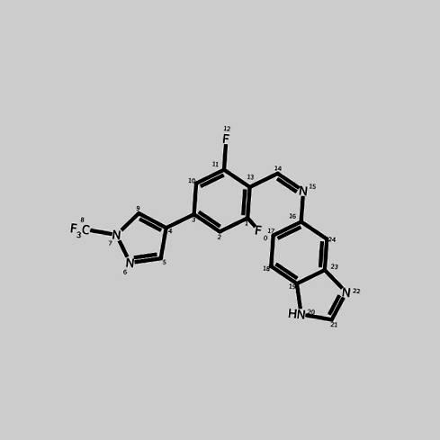 Fc1cc(-c2cnn(C(F)(F)F)c2)cc(F)c1/C=N\c1ccc2[nH]cnc2c1